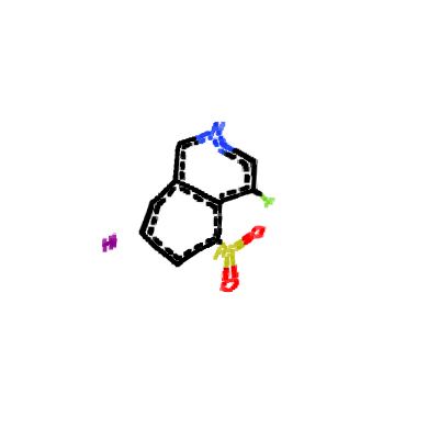 I.O=[SH](=O)c1cccc2cncc(F)c12